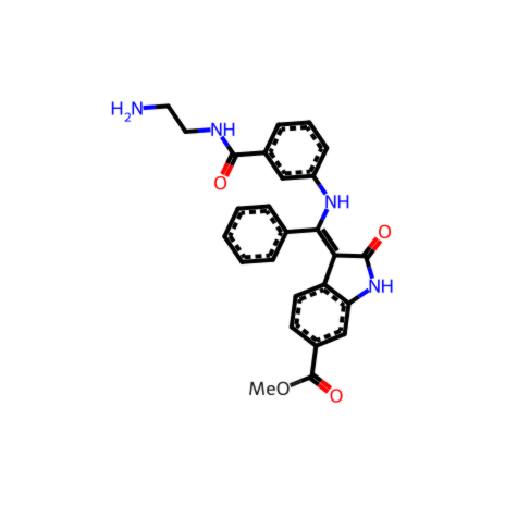 COC(=O)c1ccc2c(c1)NC(=O)/C2=C(\Nc1cccc(C(=O)NCCN)c1)c1ccccc1